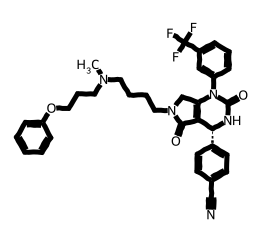 CN(CCCCN1CC2=C(C1=O)[C@@H](c1ccc(C#N)cc1)NC(=O)N2c1cccc(C(F)(F)F)c1)CCCOc1ccccc1